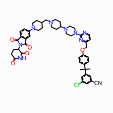 CC(C)(c1ccc(OCc2ccnc(N3CCN(C4CCN(CC5CCN(c6ccc7c(c6)C(=O)N(C6CCC(=O)NC6=O)C7=O)CC5)CC4)CC3)n2)cc1)c1cc(Cl)cc(C#N)c1